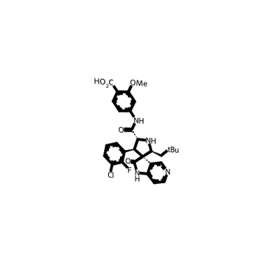 COc1cc(NC(=O)[C@@H]2N[C@@H](CC(C)(C)C)[C@@]3(C(=O)Nc4ccncc43)[C@H]2c2cccc(Cl)c2F)ccc1C(=O)O